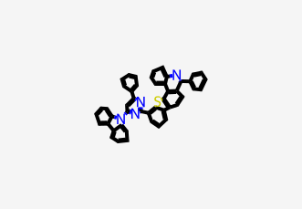 c1ccc(-c2cc(-n3c4ccccc4c4ccccc43)nc(-c3cccc4c3sc3c4ccc4c(-c5ccccc5)nc5ccccc5c43)n2)cc1